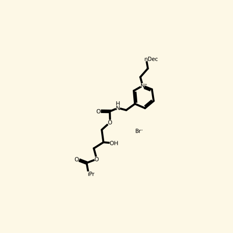 CCCCCCCCCCCC[n+]1cccc(CNC(=O)OCC(O)COC(=O)C(C)C)c1.[Br-]